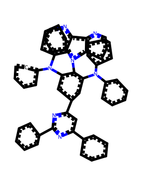 c1ccc(-c2cc(-c3cc(N(c4ccccc4)c4ccccc4)c(-n4c5cccnc5c5ncccc54)c(N(c4ccccc4)c4ccccc4)c3)nc(-c3ccccc3)n2)cc1